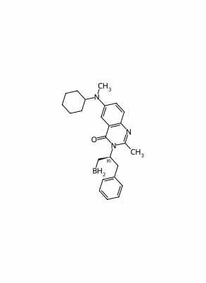 BC[C@H](Cc1ccccc1)n1c(C)nc2ccc(N(C)C3CCCCC3)cc2c1=O